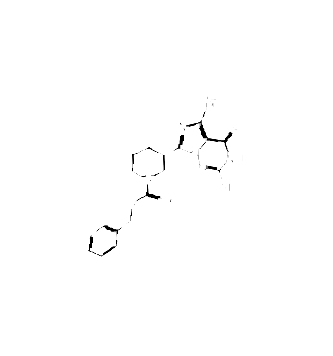 Nc1nn2c([C@@H]3CCCN(C(=O)OCc4ccccc4)C3)nc(Br)c2c(=O)[nH]1